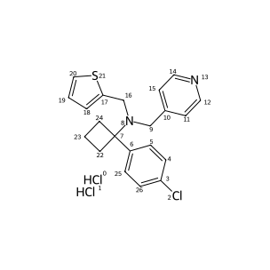 Cl.Cl.Clc1ccc(C2(N(Cc3ccncc3)Cc3cccs3)CCC2)cc1